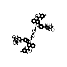 CC(=O)NC(C)CC(=N)c1ccc2c(c1)c1cc(C(=O)c3c(C)cc(C)cc3C)c3ccccc3c1n2CCOCCOCCn1c2ccc(C(=N)CC(C)N(OC(C)=O)C(C)=O)cc2c2cc(C(=O)c3c(C)cc(C)cc3C)c3ccccc3c21